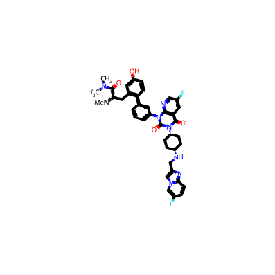 CNC(Cc1cc(O)ccc1-c1cccc(-n2c(=O)n([C@H]3CC[C@@H](NCc4cn5cc(F)ccc5n4)CC3)c(=O)c3cc(F)cnc32)c1)C(=O)N(C)C